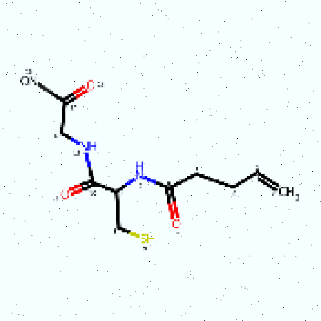 C=CCCC(=O)NC(CS)C(=O)NCC(=O)N=O